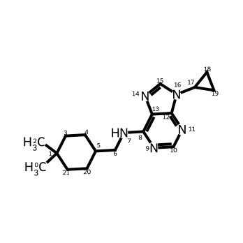 CC1(C)CCC(CNc2ncnc3c2ncn3C2CC2)CC1